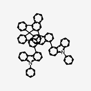 c1ccc(-n2c3ccccc3c3c(-c4cccc5c(-c6cc7ccccc7c7c6C6(c8ccccc8-c8ccccc86)c6ccccc6-7)c6cccc(-c7cccc8c7c7ccccc7n8-c7ccccc7)c6cc45)cccc32)cc1